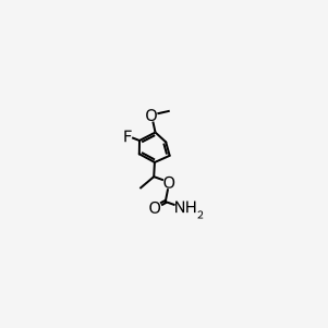 COc1ccc(C(C)OC(N)=O)cc1F